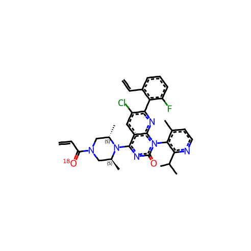 C=CC(=[18O])N1C[C@H](C)N(c2nc(=O)n(-c3c(C)ccnc3C(C)C)c3nc(-c4c(F)cccc4C=C)c(Cl)cc23)[C@@H](C)C1